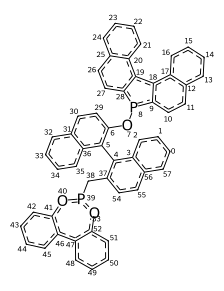 c1ccc2c(-c3c(Op4c5ccc6ccccc6c5c5c6ccccc6ccc54)ccc4ccccc34)c(Cp3oc4ccccc4c4ccccc4o3)ccc2c1